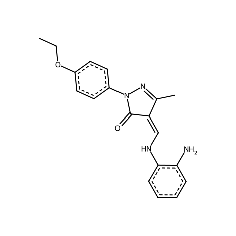 CCOc1ccc(N2N=C(C)C(=CNc3ccccc3N)C2=O)cc1